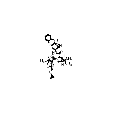 CC(C)(C)C(NC(=O)COC1CC1)C(=O)N1C[C@H]2[C@@H]([C@H]1C(=O)NC(C#N)C[C@@H]1Oc3ccccc3NC1=O)C2(C)C